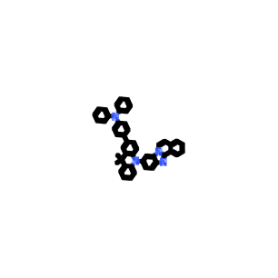 CC1(C)c2ccccc2N(c2ccc3nc4c5ccccc5ccn4c3c2)c2ccc(-c3ccc(N(c4ccccc4)c4ccccc4)cc3)cc21